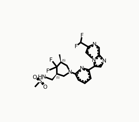 C[C@H]1CN(c2cccc(-c3cnc4cnc(C(F)F)cn34)n2)C[C@@H](CNS(C)(=O)=O)C1(F)F